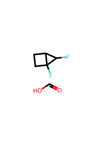 FC1C2CCC12F.O=CO